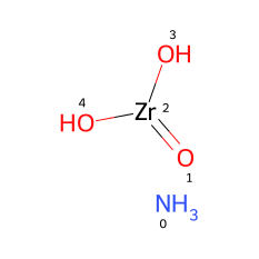 N.[O]=[Zr]([OH])[OH]